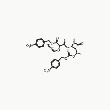 C[C@@H](OC(=O)OCc1ccc([N+](=O)[O-])cc1)[C@H]1C(=O)N[C@H]1CC(=O)[C@@H](OC=[N+]=[N-])C(=O)OCc1ccc([N+](=O)[O-])cc1